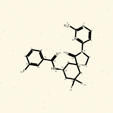 Cc1nccc(N2CC[C@]3(C[C@H](NC(=O)c4cccc(F)c4)CC(F)(F)C3)C2=O)n1